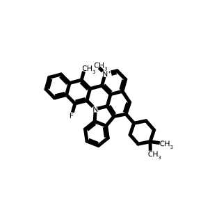 Cc1c2ccccc2c(F)c2c1c1c3c(cc[n+]1C)cc(C1CCC(C)(C)CC1)c1c4ccccc4n2c13